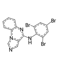 Brc1cc(Br)c(Nc2nc3ccccc3n3cncc23)c(Br)c1